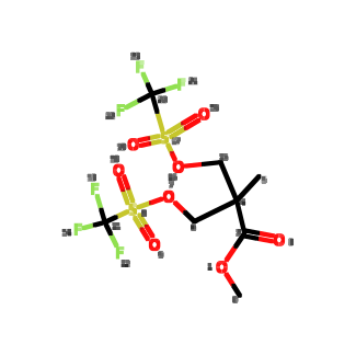 COC(=O)C(C)(COS(=O)(=O)C(F)(F)F)COS(=O)(=O)C(F)(F)F